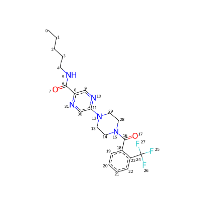 CCCCCNC(=O)c1cnc(N2CCN(C(=O)c3ccccc3C(F)(F)F)CC2)cn1